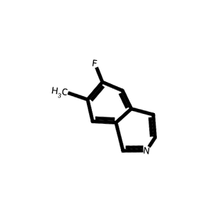 Cc1cc2cnccc2cc1F